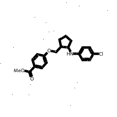 COC(=O)c1ccc(OCC2CCCC2Nc2ccc(Cl)cc2)cc1